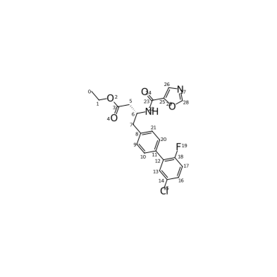 CCOC(=O)C[C@@H](Cc1ccc(-c2cc(Cl)ccc2F)cc1)NC(=O)c1cnco1